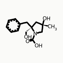 C[C@@]1(O)CN(C(=O)O)[C@@](CO)(Cc2ccccc2)C1